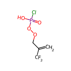 C=C(COOP(=O)(O)Cl)C(F)(F)F